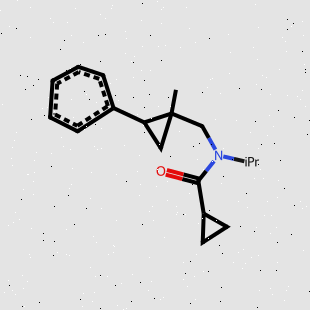 CC(C)N(CC1(C)CC1c1ccccc1)C(=O)C1CC1